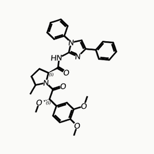 COc1ccc([C@H](OC)C(=O)N2C(C)CC[C@H]2C(=O)Nc2nc(-c3ccccc3)cn2-c2ccccc2)cc1OC